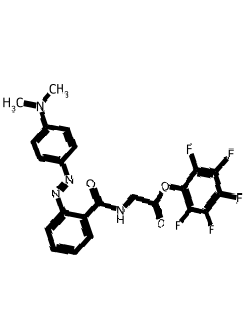 CN(C)c1ccc(/N=N/c2ccccc2C(=O)NCC(=O)Oc2c(F)c(F)c(F)c(F)c2F)cc1